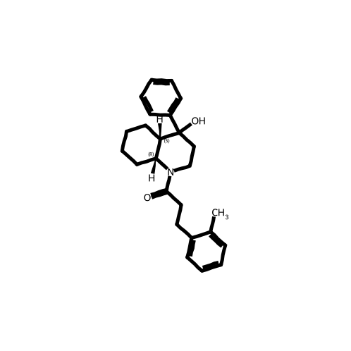 Cc1ccccc1CCC(=O)N1CCC(O)(c2ccccc2)[C@H]2CCCC[C@H]21